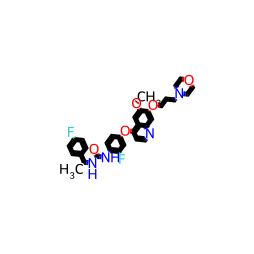 COc1cc2c(Oc3ccc(NC(=O)NC(C)c4ccc(F)cc4)c(F)c3)ccnc2cc1OCCCN1CCOCC1